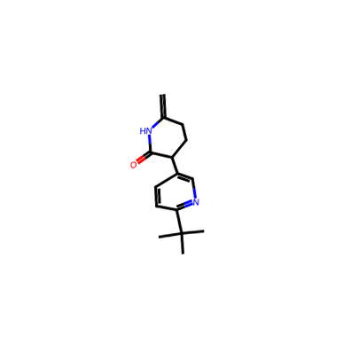 C=C1CCC(c2ccc(C(C)(C)C)nc2)C(=O)N1